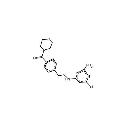 Nc1nc(Cl)cc(NCCc2ccc(C(=O)N3CCOCC3)cc2)n1